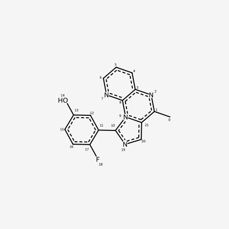 Cc1nc2cccnc2n2c(-c3cc(O)ccc3F)ncc12